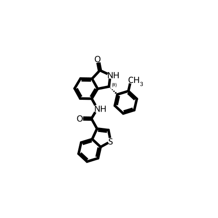 Cc1ccccc1[C@H]1NC(=O)c2cccc(NC(=O)c3csc4ccccc34)c21